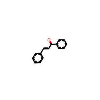 O=C(C=Cc1ccccc1)c1cc[c]cc1